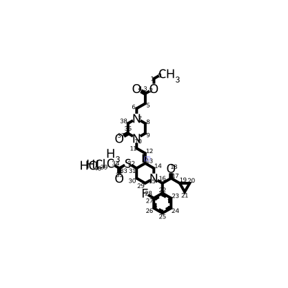 CCOC(=O)CCN1CCN(C/C=C2/CN(C(C(=O)C3CC3)c3ccccc3F)CCC2SC(C)=O)C(=O)C1.Cl.Cl